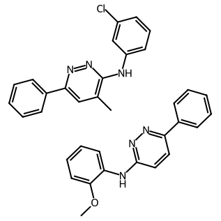 COc1ccccc1Nc1ccc(-c2ccccc2)nn1.Cc1cc(-c2ccccc2)nnc1Nc1cccc(Cl)c1